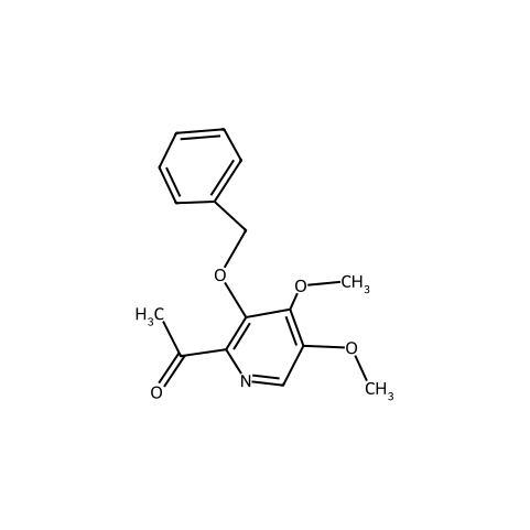 COc1cnc(C(C)=O)c(OCc2ccccc2)c1OC